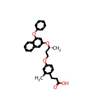 Cc1cc(OCC[C@@H](C)Oc2cc(Oc3ccccc3)c3ccccc3c2)ccc1CCC(=O)O